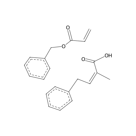 C=CC(=O)OCc1ccccc1.CC(=CCc1ccccc1)C(=O)O